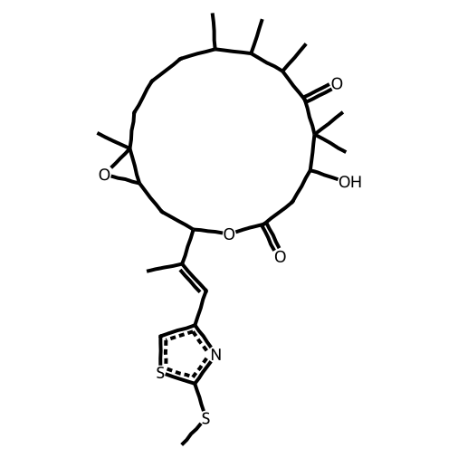 CSc1nc(C=C(C)C2CC3OC3(C)CCCC(C)C(C)C(C)C(=O)C(C)(C)C(O)CC(=O)O2)cs1